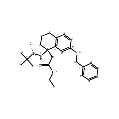 CCOC(=O)C[C@@]1(N[S@@+]([O-])C(C)(C)C)CCCc2ccc(OCc3ccccc3)cc21